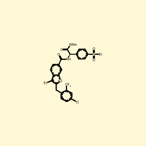 CCc1c(Cc2ccc(Cl)cc2C(F)(F)F)oc2cc(C(=O)N[C@@H](C(=O)NC)c3ccc(S(=O)(=O)CC)cc3)ccc12